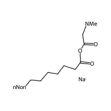 CCCCCCCCCCCCCCCC(=O)OC(=O)CNC.[Na]